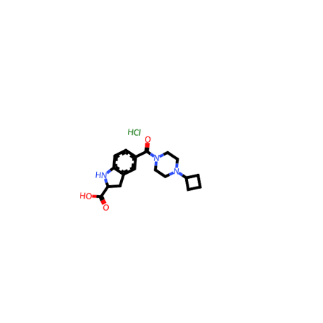 Cl.O=C(O)C1Cc2cc(C(=O)N3CCN(C4CCC4)CC3)ccc2N1